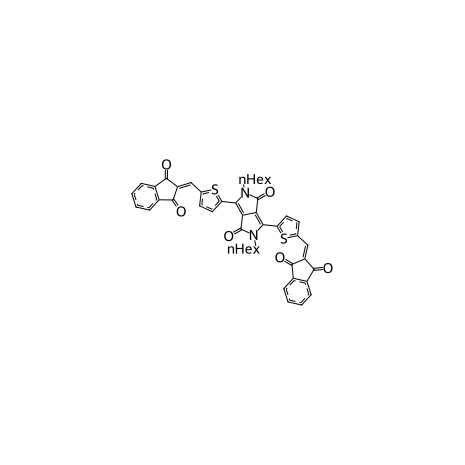 CCCCCCN1C(=O)C2=C(c3ccc(C=C4C(=O)c5ccccc5C4=O)s3)N(CCCCCC)C(=O)C2=C1c1ccc(C=C2C(=O)c3ccccc3C2=O)s1